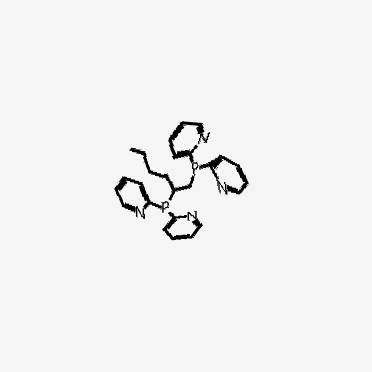 CCCCC(CP(c1ccccn1)c1ccccn1)P(c1ccccn1)c1ccccn1